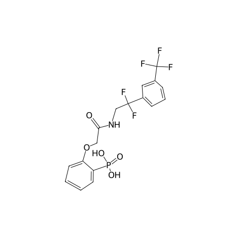 O=C(COc1ccccc1P(=O)(O)O)NCC(F)(F)c1cccc(C(F)(F)F)c1